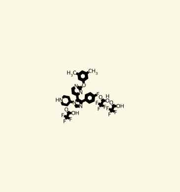 Cc1cc(C)cc(Oc2nccc(-c3c(-c4ccc(F)cc4)ncn3C3CCNCC3)n2)c1.O=C(O)C(F)(F)F.O=C(O)C(F)(F)F.O=C(O)C(F)(F)F